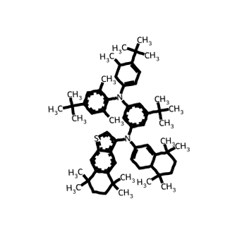 Cc1cc(C(C)(C)C)cc(C)c1N(C1=CC=C(C(C)(C)C)C(C)C1)c1cc(N(C2=CCC3C(=C2)C(C)(C)CCC3(C)C)c2csc3cc4c(cc23)C(C)(C)CCC4(C)C)cc(C(C)(C)C)c1